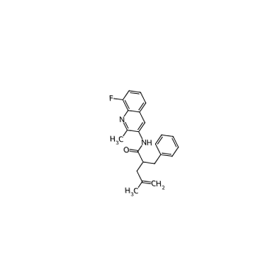 C=C(C)CC(Cc1ccccc1)C(=O)Nc1cc2cccc(F)c2nc1C